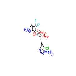 Nc1ncnc2cc(C3CC(Oc4cc(F)c(F)c5c4CNCC5)[C@@H](O)[C@H]3O)cc(Cl)c12